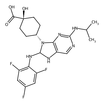 CC(C)Nc1ncc2c(n1)N([C@H]1CC[C@@](O)(C(=O)O)CC1)C(Nc1c(F)cc(F)cc1F)N2